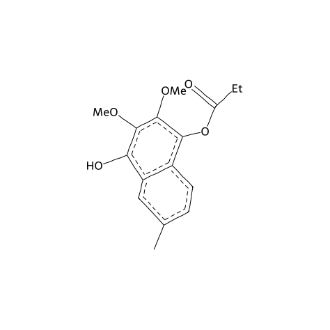 CCC(=O)Oc1c(OC)c(OC)c(O)c2cc(C)ccc12